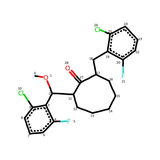 COC(c1c(F)cccc1Cl)C1CCCCCC(Cc2c(F)cccc2Cl)C1=O